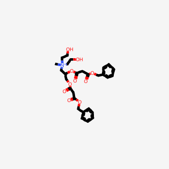 C[N+](CCO)(CCO)CC(COC(=O)CC(=O)OCc1ccccc1)OC(=O)CC(=O)OCc1ccccc1